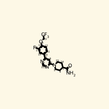 NC(=O)C1CCN(c2cc(-c3ccc(OCC(F)(F)F)c(F)c3)ncn2)CC1